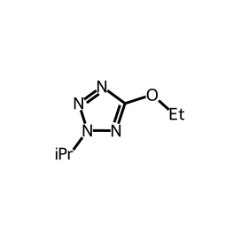 CCOc1nnn(C(C)C)n1